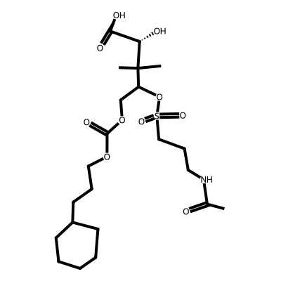 CC(=O)NCCCS(=O)(=O)OC(COC(=O)OCCCC1CCCCC1)C(C)(C)[C@@H](O)C(=O)O